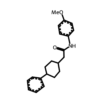 COc1ccc(NC(=O)CC2CCC(c3ccccc3)CC2)cc1